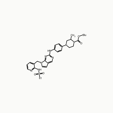 CCS(=O)(=O)Nc1ncccc1Cn1ccc2cnc(Nc3ccc(N4CCN(C(=O)OC(C)(C)C)C(C)C4)cc3)nc21